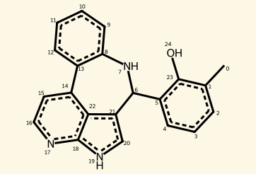 Cc1cccc(C2Nc3ccccc3-c3ccnc4[nH]cc2c34)c1O